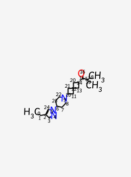 CCc1cnn(C2CCN([C@H]3CC4(C[C@H](C(=O)C(C)C)C4)C3)CC2)c1